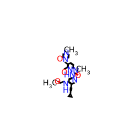 COCCNc1cc(NC(=O)N(C)c2ccc(CN3CCN(C)CC3=O)c(C=O)n2)ncc1C#CC1CC1